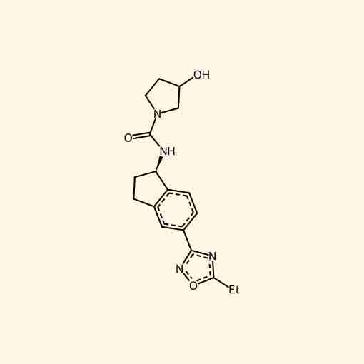 CCc1nc(-c2ccc3c(c2)CC[C@H]3NC(=O)N2CCC(O)C2)no1